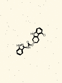 O=C(Nc1n[nH]c2ccccc12)ON1CCc2c([nH]c3cccc(Cl)c23)C1